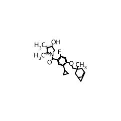 C[C@H]1[C@H](O)CN(C(=O)c2cc(C3CC3)c(OCC3(C)CC=C4CC4C3)cc2F)[C@@H]1C